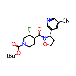 CC(C)(C)OC(=O)N1CC[C@H](C(=O)N2OCC[C@H]2c2cncc(C#N)c2)[C@@H](F)C1